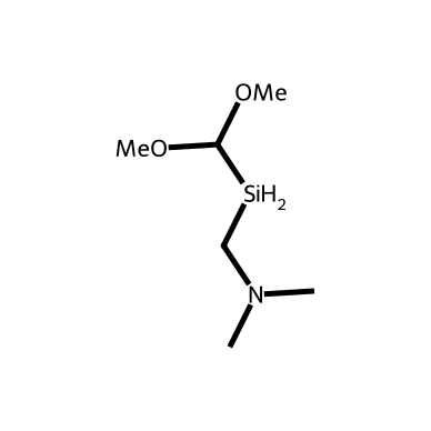 COC(OC)[SiH2]CN(C)C